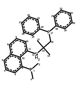 CP(C)c1cccc2cccc([SiH2]C(C)(C)CP(c3ccccc3)c3ccccc3)c12